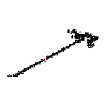 CC[C@@]1(O)C(=O)OCc2c1cc1n(c2=O)Cc2c-1nc1cc(F)c(C)c3c1c2[C@@H](NC(=O)COP(=O)(O)OCc1ccc(NC(=O)[C@H](CCCNC(N)=O)NC(=O)[C@@H](N)C(C)C)cc1CN(C)C(=O)CCOCCOCCOCCOCCOCCOCCOCCOCCOCCOCCOCCOCCOCCOCCOCCOCCOCCOCCOCCOCCOCCOCCOCCOC)CC3